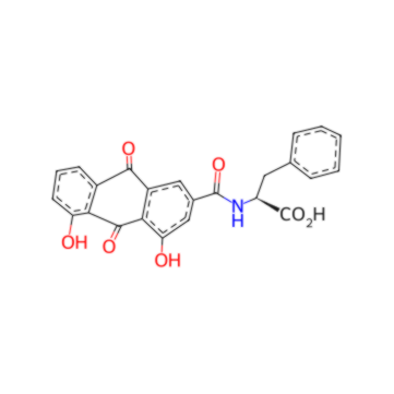 O=C(N[C@@H](Cc1ccccc1)C(=O)O)c1cc(O)c2c(c1)C(=O)c1cccc(O)c1C2=O